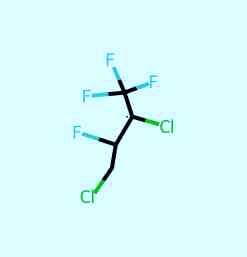 FC(CCl)[C](Cl)C(F)(F)F